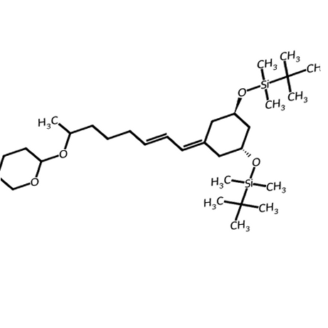 CC(CCCC=CC=C1C[C@@H](O[Si](C)(C)C(C)(C)C)C[C@H](O[Si](C)(C)C(C)(C)C)C1)OC1CCCCO1